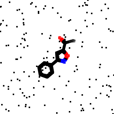 CC(C)C(=O)c1cc(-c2ccccc2)no1